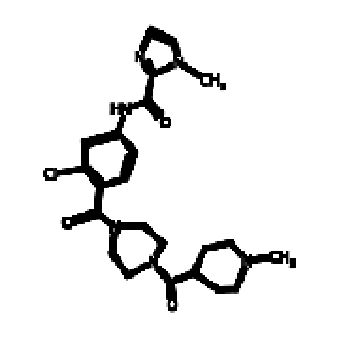 CN1CCC(C(=O)N2CCN(C(=O)c3ccc(NC(=O)c4nccn4C)cc3Cl)CC2)CC1